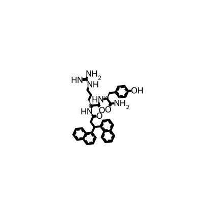 N=C(N)NCCC[C@@H](NC(=O)CC(c1cccc2ccccc12)c1cccc2ccccc12)C(=O)N[C@@H](Cc1ccc(O)cc1)C(N)=O